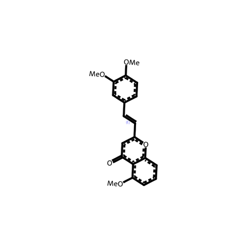 COc1ccc(/C=C/c2cc(=O)c3c(OC)cccc3o2)cc1OC